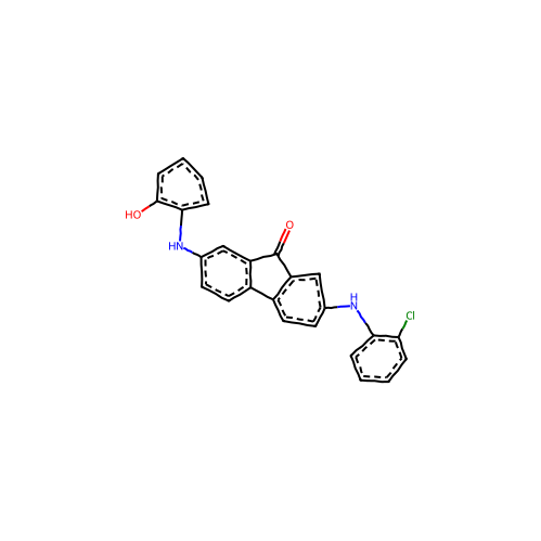 O=C1c2cc(Nc3ccccc3O)ccc2-c2ccc(Nc3ccccc3Cl)cc21